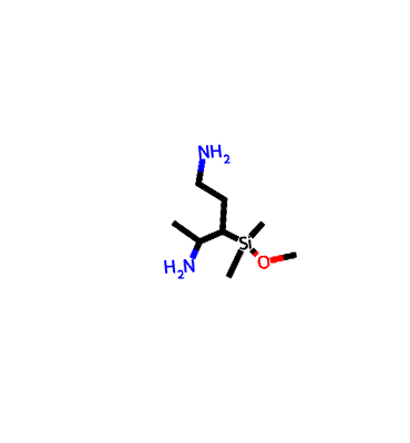 CO[Si](C)(C)C(CCN)C(C)N